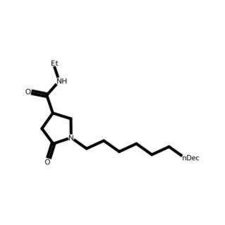 CCCCCCCCCCCCCCCCN1CC(C(=O)NCC)CC1=O